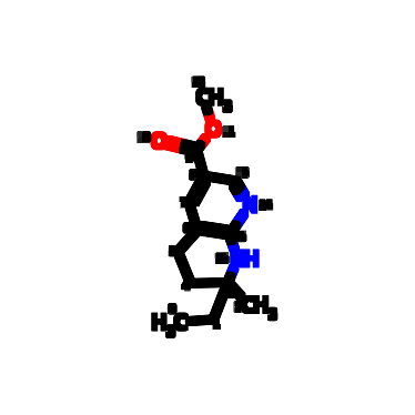 CCC1(C)CCc2cc(C(=O)OC)cnc2N1